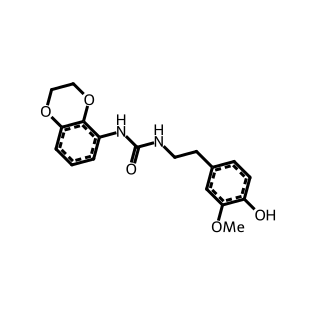 COc1cc(CCNC(=O)Nc2cccc3c2OCCO3)ccc1O